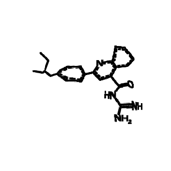 CCC(C)Cc1ccc(-c2cc(C(=O)NC(=N)N)c3ccccc3n2)cc1